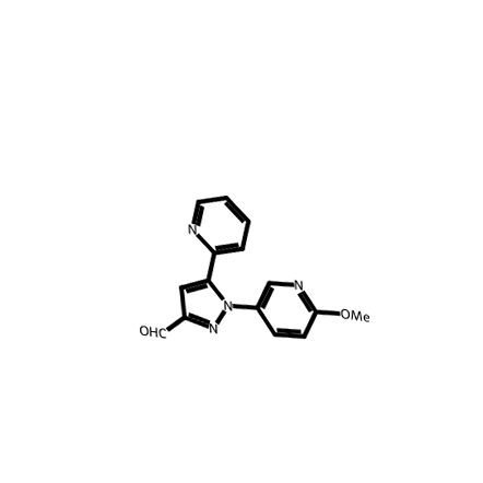 COc1ccc(-n2nc(C=O)cc2-c2ccccn2)cn1